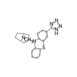 CN1C2CCC1CC(N1c3ccccc3Sc3cc(-c4nnn[nH]4)ccc31)C2